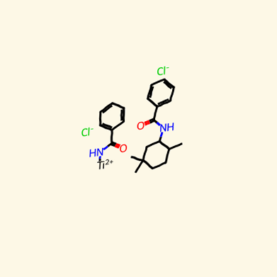 CC1CCC(C)(C)CC1NC(=O)c1ccccc1.O=C([NH][Ti+2])c1ccccc1.[Cl-].[Cl-]